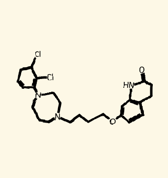 O=C1CCc2ccc(OCCCCN3CCCN(C4=C(Cl)C(Cl)CC=C4)CC3)cc2N1